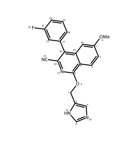 COc1ccc2c(OCc3cnc[nH]3)nc(C#N)c(-c3cccc(F)c3)c2c1